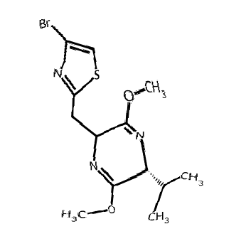 COC1=N[C@H](C(C)C)C(OC)=NC1Cc1nc(Br)cs1